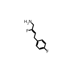 NC/C(F)=C/Cc1ccc(F)cc1